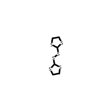 C1CSC(SSC2SCCS2)S1